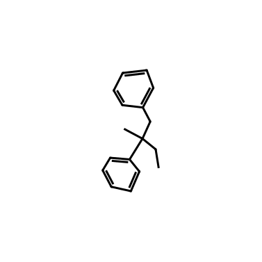 CCC(C)(Cc1ccccc1)c1ccccc1